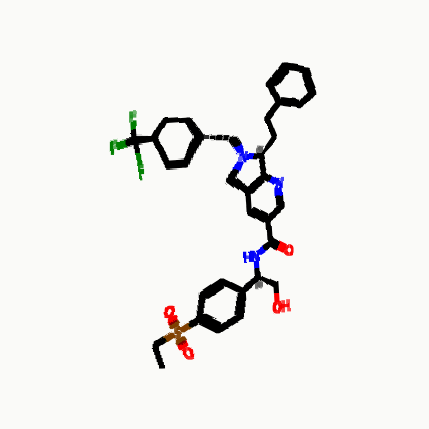 CCS(=O)(=O)c1ccc([C@H](CO)NC(=O)c2cnc3c(c2)CN(C[C@H]2CC[C@H](C(F)(F)F)CC2)[C@H]3CCc2ccccc2)cc1